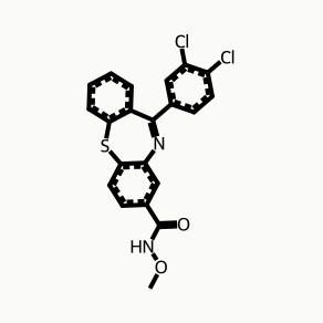 CONC(=O)c1ccc2c(c1)N=C(c1ccc(Cl)c(Cl)c1)c1ccccc1S2